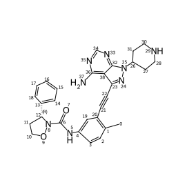 Cc1ccc(NC(=O)N2OCC[C@@H]2c2ccccc2)cc1C#Cc1nn(C2CCNCC2)c2ncnc(N)c12